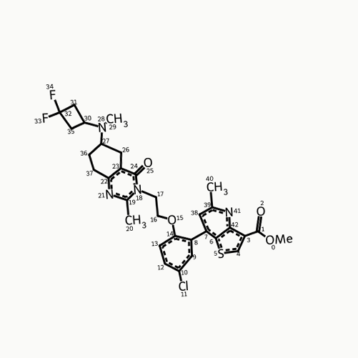 COC(=O)c1csc2c(-c3cc(Cl)ccc3OCCn3c(C)nc4c(c3=O)CC(N(C)C3CC(F)(F)C3)CC4)cc(C)nc12